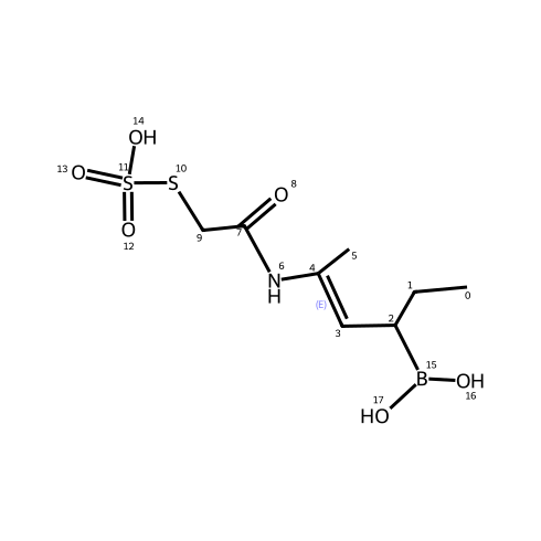 CCC(/C=C(\C)NC(=O)CSS(=O)(=O)O)B(O)O